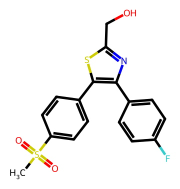 CS(=O)(=O)c1ccc(-c2sc(CO)nc2-c2ccc(F)cc2)cc1